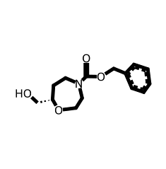 O=C(OCc1ccccc1)N1CCO[C@H](CO)CC1